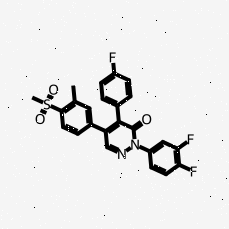 Cc1cc(-c2cnn(-c3ccc(F)c(F)c3)c(=O)c2-c2ccc(F)cc2)ccc1S(C)(=O)=O